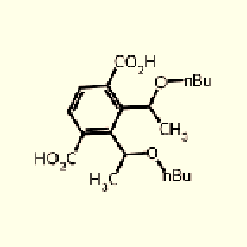 CCCCOC(C)c1c(C(=O)O)ccc(C(=O)O)c1C(C)OCCCC